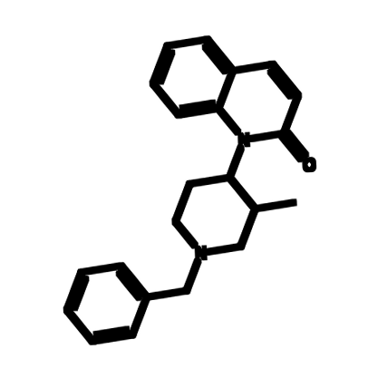 CC1CN(Cc2ccccc2)CCC1n1c(=O)ccc2ccccc21